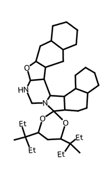 CCC(C)(CC)C1CC(C(C)(CC)CC)OC2(O1)C1CCC3CCCCC3C1C1C3C(NCN12)OC1CC2CCCCC2CC13